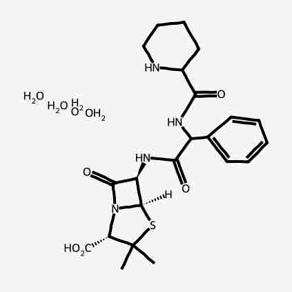 CC1(C)S[C@@H]2[C@H](NC(=O)C(NC(=O)C3CCCCN3)c3ccccc3)C(=O)N2[C@H]1C(=O)O.O.O.O.O